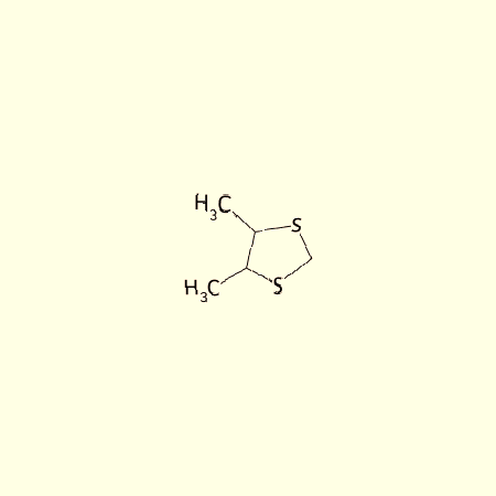 CC1SCSC1C